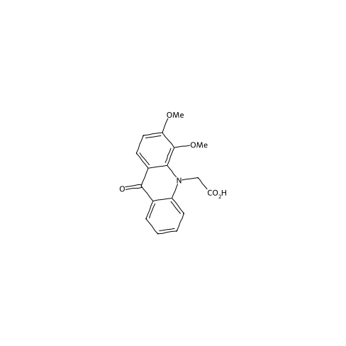 COc1ccc2c(=O)c3ccccc3n(CC(=O)O)c2c1OC